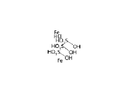 Cl.O=S(=O)(O)O.O=S(=O)(O)O.O=S(=O)(O)O.[Fe].[Fe]